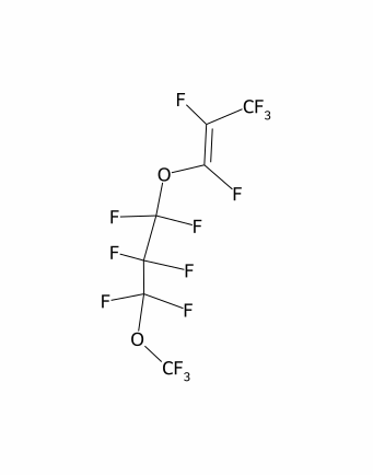 FC(OC(F)(F)C(F)(F)C(F)(F)OC(F)(F)F)=C(F)C(F)(F)F